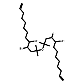 C=CCCCCCCC(O)C(CC)CC(C)(C)OC(C)(C)CC(CC)C(O)CCCCCCC=C